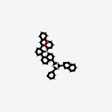 c1ccc(-c2nc(-c3ccc4ccccc4c3)nc(-c3ccc4c5c(cccc35)-c3cccc(-c5ccc6ccccc6c5)c3N4c3ccccc3)n2)cc1